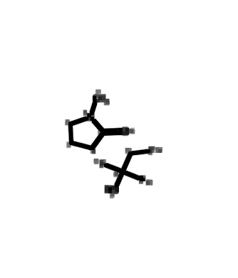 CN1CCCC1=O.OC(F)(F)CF